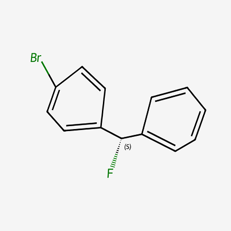 F[C@@H](c1ccccc1)c1ccc(Br)cc1